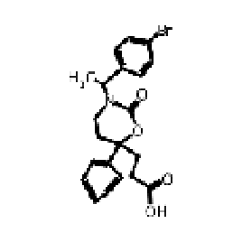 C[C@@H](c1ccc(Br)cc1)N1CCC(CCC(=O)O)(c2ccccc2)OC1=O